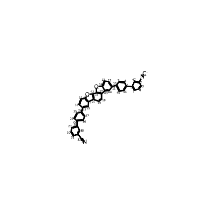 [C-]#[N+]c1cccc(-c2ccc(-c3ccc4oc5c(ccc6c7cc(-c8ccc(-c9cccc(C#N)c9)cc8)ccc7oc65)c4c3)cc2)c1